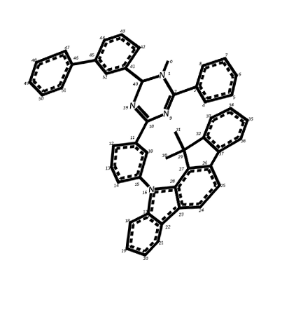 CN1C(c2ccccc2)=NC(c2cccc(-n3c4ccccc4c4ccc5c(c43)C(C)(C)c3ccccc3-5)c2)=NC1c1cccc(-c2ccccc2)c1